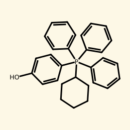 Oc1ccc(P(c2ccccc2)(c2ccccc2)(c2ccccc2)C2CCCCC2)cc1